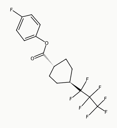 O=C(Oc1ccc(F)cc1)[C@H]1CC[C@H](C(F)(F)C(F)(F)C(F)(F)F)CC1